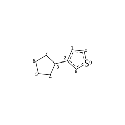 c1cc(C2CCCC2)cs1